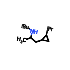 CCC(C)NC(C)CC1CC1C(C)C